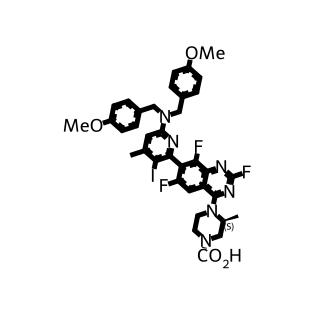 COc1ccc(CN(Cc2ccc(OC)cc2)c2cc(C)c(I)c(-c3c(F)cc4c(N5CCN(C(=O)O)C[C@@H]5C)nc(F)nc4c3F)n2)cc1